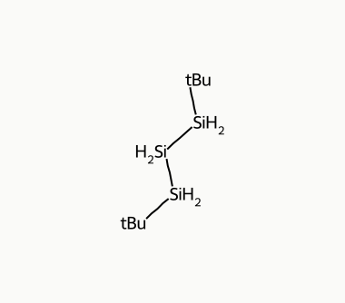 CC(C)(C)[SiH2][SiH2][SiH2]C(C)(C)C